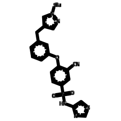 CC(C)(C)n1cc(Cc2cccc(Oc3ccc(S(=O)(=O)Nc4cscn4)cc3C#N)c2)cn1